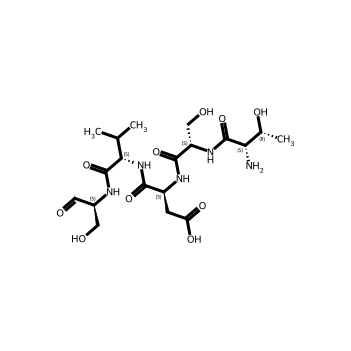 CC(C)[C@H](NC(=O)[C@H](CC(=O)O)NC(=O)[C@H](CO)NC(=O)[C@@H](N)[C@@H](C)O)C(=O)N[C@H]([C]=O)CO